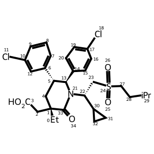 CC[C@@]1(CC(=O)O)C[C@H](c2cccc(Cl)c2)[C@@H](c2ccc(Cl)cc2)N([C@H](CS(=O)(=O)CCC(C)C)C2CC2)C1=O